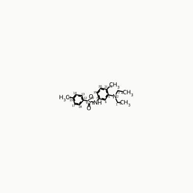 CCN(CC)c1cc(NS(=O)(=O)c2ccc(C)cc2)ccc1C